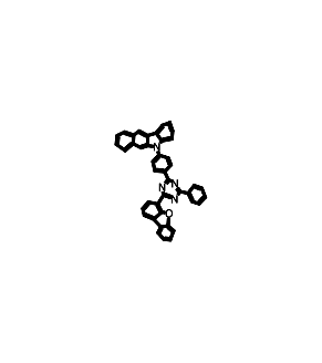 c1ccc(-c2nc(-c3ccc(-n4c5ccccc5c5cc6ccccc6cc54)cc3)nc(-c3cccc4c3oc3ccccc34)n2)cc1